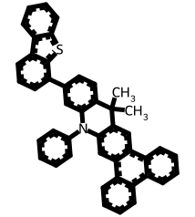 CC1(C)c2ccc(-c3cccc4c3sc3ccccc34)cc2N(c2ccccc2)c2cc3c4ccccc4c4ccccc4c3cc21